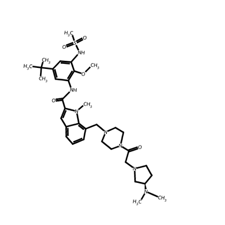 COc1c(NC(=O)c2cc3cccc(CN4CCN(C(=O)CN5CC[C@@H](N(C)C)C5)CC4)c3n2C)cc(C(C)(C)C)cc1NS(C)(=O)=O